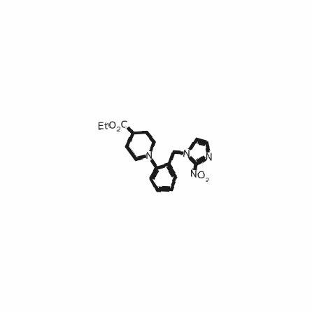 CCOC(=O)C1CCN(c2ccccc2Cn2ccnc2[N+](=O)[O-])CC1